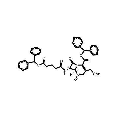 CC(=O)OCC1=C(C(=O)OC(c2ccccc2)c2ccccc2)N2C(=O)[C@@H](NC(=O)CCCC(=O)OC(c3ccccc3)c3ccccc3)[C@@H]2[S+]([O-])C1